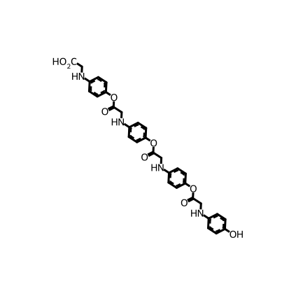 O=C(O)CNc1ccc(OC(=O)CNc2ccc(OC(=O)CNc3ccc(OC(=O)CNc4ccc(O)cc4)cc3)cc2)cc1